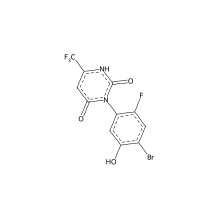 O=c1cc(C(F)(F)F)[nH]c(=O)n1-c1cc(O)c(Br)cc1F